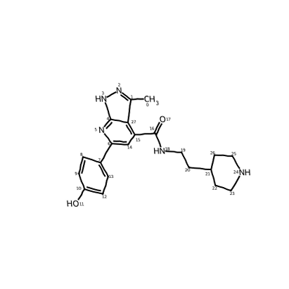 Cc1n[nH]c2nc(-c3ccc(O)cc3)cc(C(=O)NCCC3CCNCC3)c12